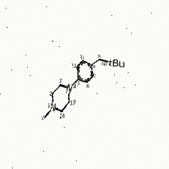 CN1CCN(c2ccc(CC(C)(C)C)cc2)CC1